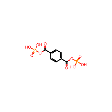 O=C(OP(=O)(O)O)c1ccc(C(=O)OP(=O)(O)O)cc1